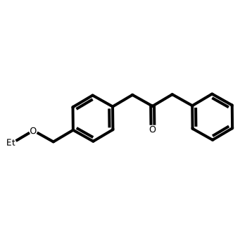 CCOCc1ccc(CC(=O)Cc2ccccc2)cc1